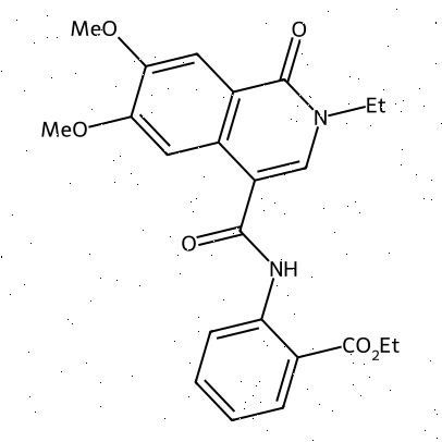 CCOC(=O)c1ccccc1NC(=O)c1cn(CC)c(=O)c2cc(OC)c(OC)cc12